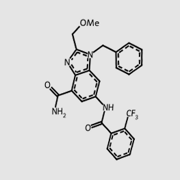 COCc1nc2c(C(N)=O)cc(NC(=O)c3ccccc3C(F)(F)F)cc2n1Cc1ccccc1